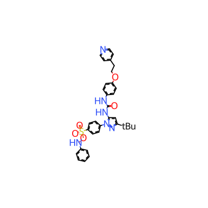 CC(C)(C)c1cc(NC(=O)Nc2ccc(OCCc3ccncc3)cc2)n(-c2ccc(S(=O)(=O)ONc3ccccc3)cc2)n1